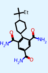 CCC(C)(C)[C@H]1CC[C@@H](c2c(C(N)=O)cc(C(N)=O)cc2C(N)=O)CC1